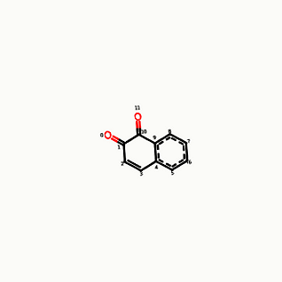 O=C1C=Cc2c[c]ccc2C1=O